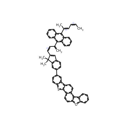 C=C(/C=C\C1=Cc2ccc(-c3ccc4sc5c(ccc6c5ccc5oc7ccccc7c56)c4c3)cc2C1(C)C)c1c2ccccc2c(/C(C)=C/C=C\C)c2ccccc12